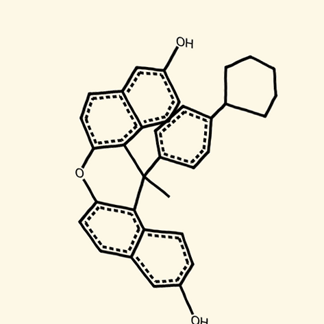 CC1(c2ccc(C3CCCCC3)cc2)c2c(ccc3cc(O)ccc23)Oc2ccc3cc(O)ccc3c21